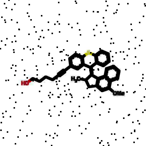 COc1cc2c(c3ccccc13)C(=C1c3ccccc3Sc3ccc(C#CCCCCO)cc31)C(C)C2